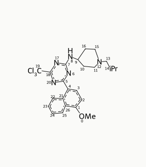 COc1ccc(-c2nc(NC3CCN(CC(C)C)CC3)nc(C(Cl)(Cl)Cl)n2)c2ccccc12